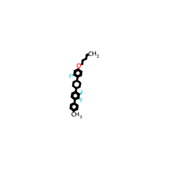 C=CCCCOc1ccc(C2CCC(c3ccc(-c4ccc(C)cc4)c(F)c3F)CC2)c(F)c1